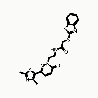 Cc1nc(C)c(-c2ccc(=O)n(CCNC(=O)CSc3nc4ccccc4s3)n2)s1